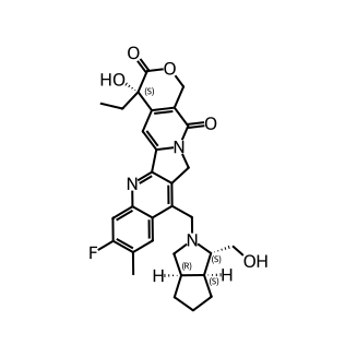 CC[C@@]1(O)C(=O)OCc2c1cc1n(c2=O)Cc2c-1nc1cc(F)c(C)cc1c2CN1C[C@@H]2CCC[C@@H]2[C@H]1CO